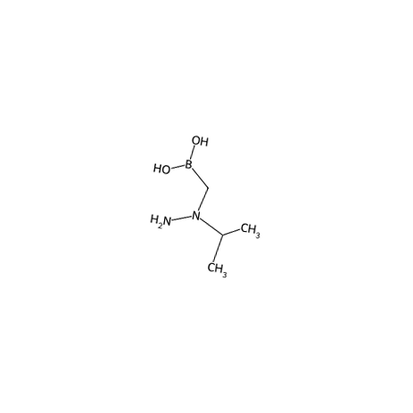 CC(C)N(N)CB(O)O